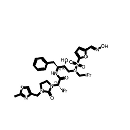 Cc1nc(CN2CCN([C@H](C(=O)N[C@@H](Cc3ccccc3)[C@H](O)CN(CC(C)C)S(=O)(=O)c3ccc(C=NO)o3)C(C)C)C2=O)cs1